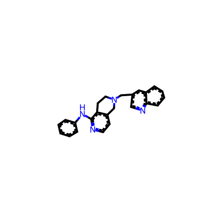 c1ccc(Nc2nccc3c2CCN(Cc2cnc4ccccc4c2)C3)cc1